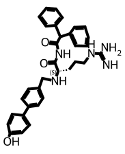 N=C(N)NCCC[C@H](NCc1ccc(-c2ccc(O)cc2)cc1)C(=O)NC(=O)C(c1ccccc1)c1ccccc1